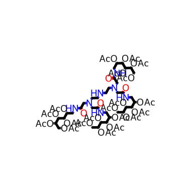 CC(=O)OCC(OC(C)=O)C(OC(C)=O)C(OC(C)=O)C(CNC(=O)CN(CCNCCN(CC(=O)NCC(OC(C)=O)C(OC(C)=O)C(OC(C)=O)C(COC(C)=O)OC(C)=O)CC(=O)NCC(OC(C)=O)C(OC(C)=O)C(OC(C)=O)C(COC(C)=O)OC(C)=O)CC(=O)NCC(OC(C)=O)C(OC(C)=O)C(OC(C)=O)C(COC(C)=O)OC(C)=O)OC(C)=O